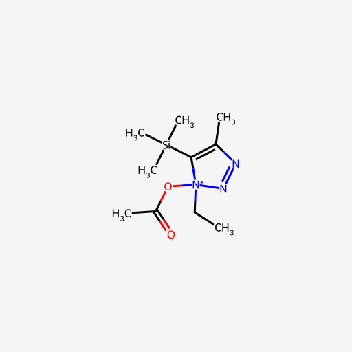 CC[N+]1(OC(C)=O)N=NC(C)=C1[Si](C)(C)C